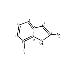 Fc1cccc2nc(Br)[nH]c12